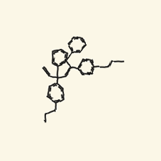 C=CC(C=C(Cc1ccccc1)c1ccc(CCC)cc1)(c1ccccc1)c1ccc(CCC)cc1